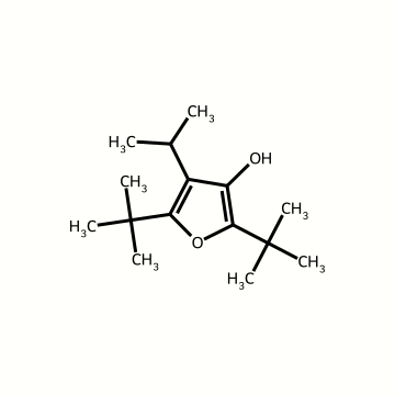 CC(C)c1c(C(C)(C)C)oc(C(C)(C)C)c1O